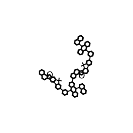 CC1(C)c2cc(-c3cccc(-c4c5ccccc5c(-c5cccc6ccccc56)c5cc(-c6ccc7ccc8c(oc9ccc%10c(c98)C(C)(C)c8cc(-c9cccc(-c%11c%12ccccc%12c(-c%12cccc%13ccccc%12%13)c%12ccccc%11%12)c9)ccc8-%10)c7c6)ccc45)c3)ccc2-c2cc3c(cc21)oc1c2ccccc2ccc31